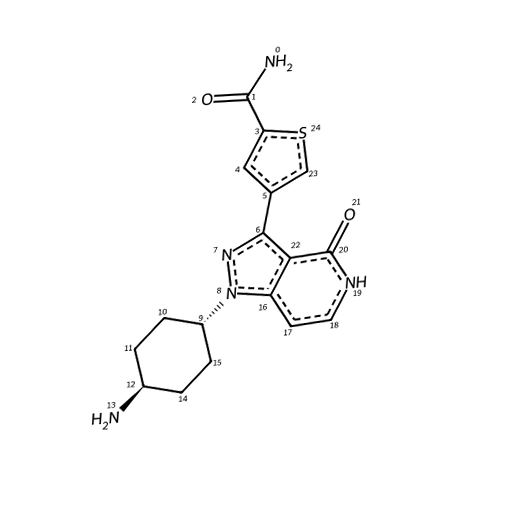 NC(=O)c1cc(-c2nn([C@H]3CC[C@H](N)CC3)c3cc[nH]c(=O)c23)cs1